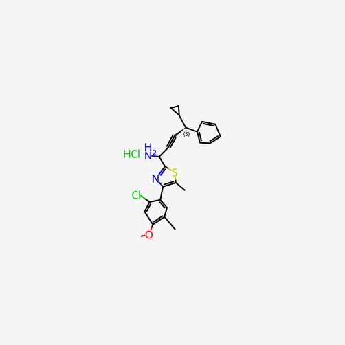 COc1cc(Cl)c(-c2nc(C(N)C#C[C@H](c3ccccc3)C3CC3)sc2C)cc1C.Cl